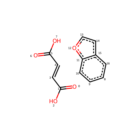 O=C(O)/C=C/C(=O)O.c1ccc2occc2c1